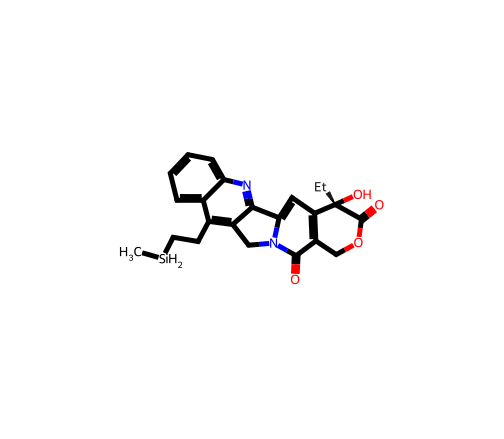 CC[C@@]1(O)C(=O)OCc2c1cc1n(c2=O)Cc2c-1nc1ccccc1c2CC[SiH2]C